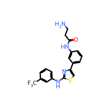 NCCC(=O)Nc1cccc(-c2csc(Nc3cccc(C(F)(F)F)c3)n2)c1